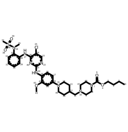 CCCCOC(=O)N1CCN(CC2CCN(c3ccc(Nc4ncc(Cl)c(Nc5ccccc5N(C)S(C)(=O)=O)n4)c(OC)c3)CC2)CC1